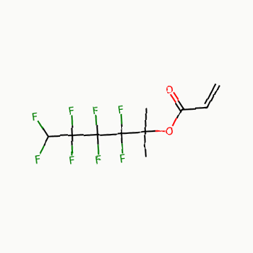 C=CC(=O)OC(C)(C)C(F)(F)C(F)(F)C(F)(F)C(F)F